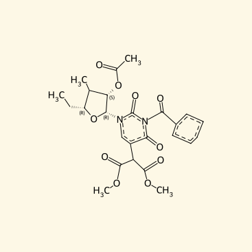 CC[C@H]1O[C@@H](n2cc(C(C(=O)OC)C(=O)OC)c(=O)n(C(=O)c3ccccc3)c2=O)[C@@H](OC(C)=O)C1C